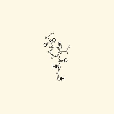 CCc1c(C(=O)NCCO)ccc(S(=O)(=O)CC)c1F